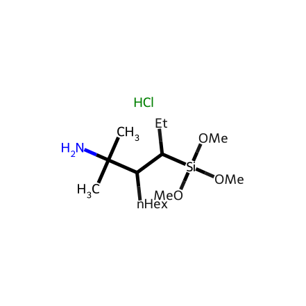 CCCCCCC(C(CC)[Si](OC)(OC)OC)C(C)(C)N.Cl